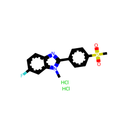 Cl.Cl.Cn1c(-c2ccc(S(C)(=O)=O)cc2)nc2ccc(F)cc21